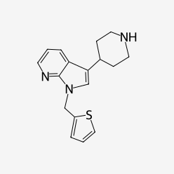 c1csc(Cn2cc(C3CCNCC3)c3cccnc32)c1